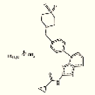 Cl.O.O.O.O=C(Nc1nc2cccc(-c3ccc(CN4CCS(=O)(=O)CC4)cc3)n2n1)C1CC1